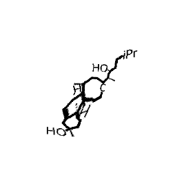 CC(C)CC[C@@H](O)[C@@H](C)[C@@H]1CCC[C@H]2[C@@H](CC=C3C[C@@](C)(O)CC[C@@]32C)[C@@H](C)CC1